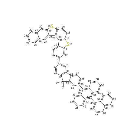 CC1(C)c2ccc(-c3ccc4c(c3)sc3ccc5sc6cc7ccccc7cc6c5c34)cc2-c2ccc(-c3c4ccccc4c(-c4cccc5ccccc45)c4ccccc34)cc21